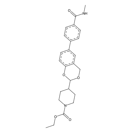 CCOC(=O)N1CCC(C2OCc3cc(-c4ccc(C(=O)NC)cc4)ccc3O2)CC1